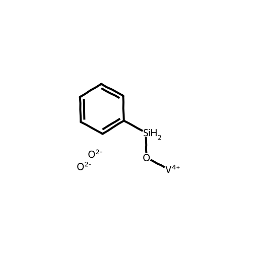 [O-2].[O-2].[V+4][O][SiH2]c1ccccc1